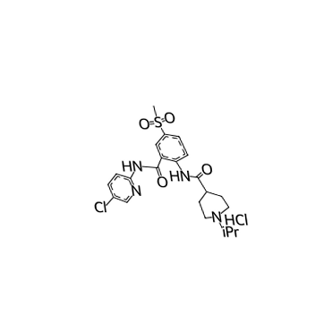 CC(C)N1CCC(C(=O)Nc2ccc(S(C)(=O)=O)cc2C(=O)Nc2ccc(Cl)cn2)CC1.Cl